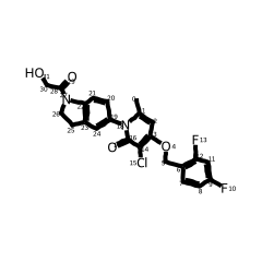 Cc1cc(OCc2ccc(F)cc2F)c(Cl)c(=O)n1-c1ccc2c(c1)CCN2C(=O)CO